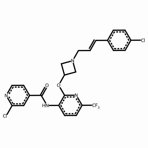 O=C(Nc1ccc(C(F)(F)F)nc1OC1CN(CC=Cc2ccc(Cl)cc2)C1)c1ccnc(Cl)c1